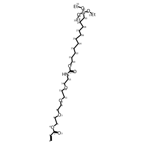 C=CC(=O)OCCOCCOCCOCCNC(=O)OCCCCCCCCCCC[Si](OCC)(OCC)OCC